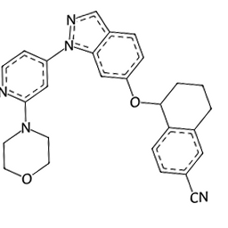 N#Cc1ccc2c(c1)CCCC2Oc1ccc2cnn(-c3ccnc(N4CCOCC4)c3)c2c1